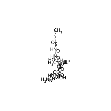 CCCCCCCC(=O)SCCNC(=O)CCNC(=O)C(O)C(C)(C)COP(=O)([O-])OP(=O)([O-])OCC1OC(n2cnc3c(N)ncnc32)C(O)C1OP(=O)([O-])O.[Li+].[Li+].[Li+]